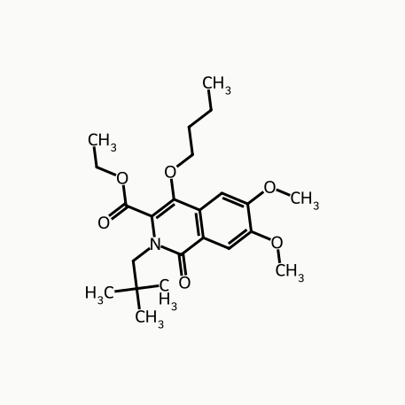 CCCCOc1c(C(=O)OCC)n(CC(C)(C)C)c(=O)c2cc(OC)c(OC)cc12